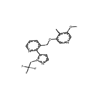 COc1cncc(OCc2cccnc2-c2ccnn2CC(F)(F)F)c1C